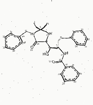 CC1(C)NC(C(O)[C@H](Cc2ccccc2)NC(=O)c2ccccc2)C(=O)N1Cc1ccccc1